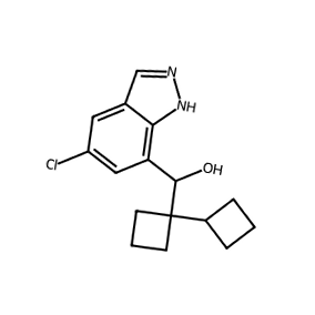 OC(c1cc(Cl)cc2cn[nH]c12)C1(C2CCC2)CCC1